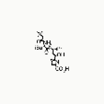 CCC(C)[C@H](NC(=O)C[N+](C)(C)C)C(=O)N(C)[C@H](C[C@@H](O)c1nc(C(=O)O)cs1)C(C)C